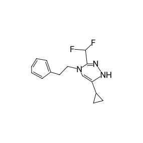 FC(F)C1=NNC(C2CC2)=CN1CCc1ccccc1